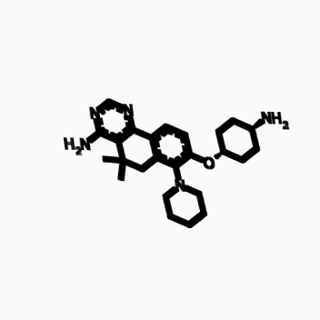 CC1(C)Cc2c(ccc(O[C@H]3CC[C@H](N)CC3)c2N2CCCCC2)-c2ncnc(N)c21